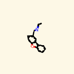 C/C=N/Cc1ccc2oc3ccccc3c2c1